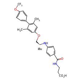 CC[C@H](C)[C@@H](COc1cc(C)c(-c2ccc(OC(F)(F)F)cc2)c(C)c1)Nc1ccc(C(=O)NCCC(=O)O)cc1